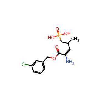 CC(/C=C(/N)C(=O)OCc1cccc(Cl)c1)CP(=O)(O)O